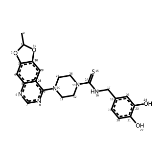 CC1Oc2cc3ncnc(N4CCN(C(=S)NCc5ccc(O)c(O)c5)CC4)c3cc2O1